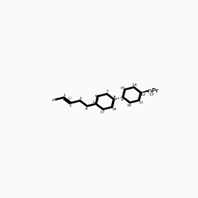 C/C=C/CCC1CCC([C@H]2CC[C@H](CCC)CC2)CC1